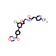 O=C(C=Cc1ccc(C(F)(F)F)nc1)NCc1cc2cc(-c3ccc(C(=O)N4CCOCC4)cc3)cc(Cl)c2o1